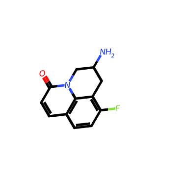 NC1Cc2c(F)ccc3ccc(=O)n(c23)C1